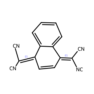 [C-]#[N+]/C(C#N)=c1\cc/c(=C(/C#N)[N+]#[C-])c2ccccc12